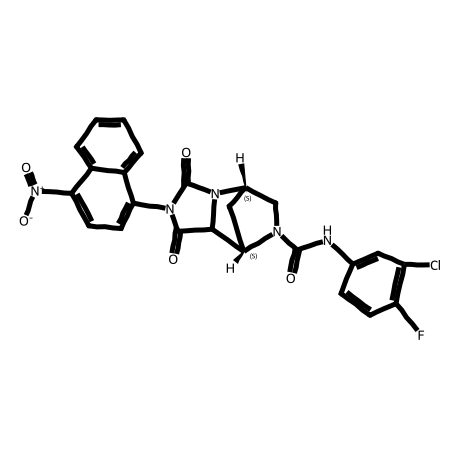 O=C1C2[C@@H]3C[C@@H](CN3C(=O)Nc3ccc(F)c(Cl)c3)N2C(=O)N1c1ccc([N+](=O)[O-])c2ccccc12